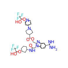 N=C(N)c1ccc2c(c1)nc(COC(=O)C1CCN(c3ccncc3)CC1)n2CC(=O)NC1CCCCC1.O=C(O)C(F)(F)F.O=C(O)C(F)(F)F